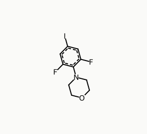 Fc1cc(I)cc(F)c1N1CCOCC1